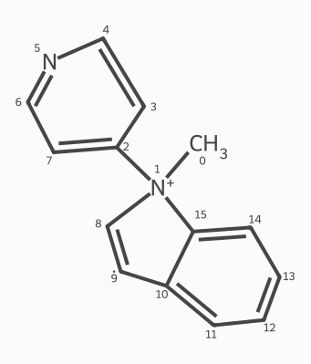 C[N+]1(c2ccncc2)C=[C]c2ccccc21